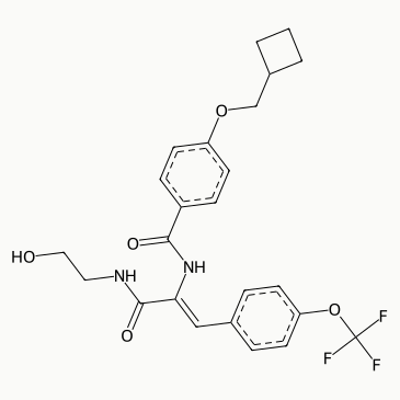 O=C(NCCO)C(=Cc1ccc(OC(F)(F)F)cc1)NC(=O)c1ccc(OCC2CCC2)cc1